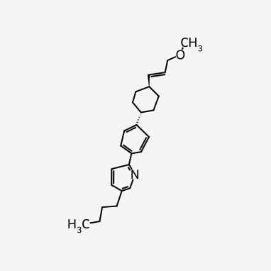 CCCCc1ccc(-c2ccc([C@H]3CC[C@H](/C=C/COC)CC3)cc2)nc1